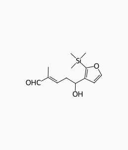 CC(C=O)=CCC(O)c1ccoc1[Si](C)(C)C